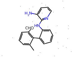 Cc1cccc(C=O)c1-c1ccccc1Nc1ncccc1N